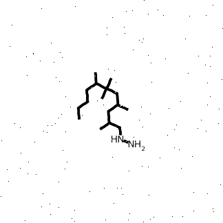 CCCCC(C)C(C)(C)CC(C)CC(C)CNN